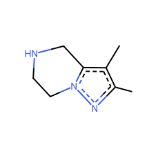 Cc1nn2c(c1C)CNCC2